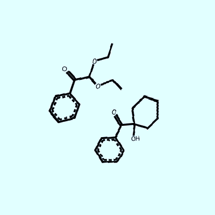 CCOC(OCC)C(=O)c1ccccc1.O=C(c1ccccc1)C1(O)CCCCC1